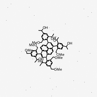 COCc1cc(COC)c(C2=CC(c3c(COC)cc(COC)cc3C(C)O)c3ccc4c5c(ccc2c35)C(c2c(COC)cc(C(C)O)cc2C(C)O)C=C4c2c(COC)cc(C(C)O)cc2C(C)O)c(C(C)O)c1